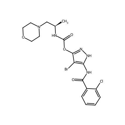 C[C@H](CN1CCOCC1)NC(=O)Oc1n[nH]c(NC(=O)c2ccccc2Cl)c1Br